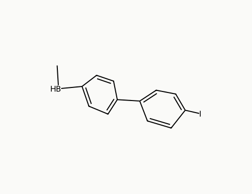 CBc1ccc(-c2ccc(I)cc2)cc1